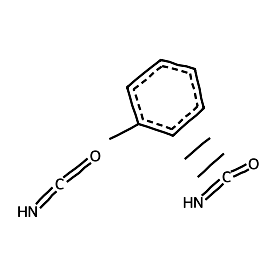 CC.CC.Cc1ccccc1.N=C=O.N=C=O